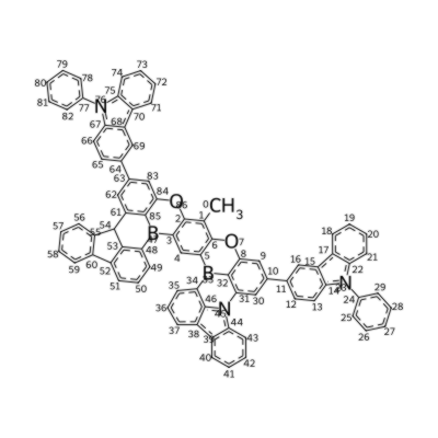 Cc1c2c(cc3c1Oc1cc(-c4ccc5c(c4)c4ccccc4n5-c4ccccc4)cc4c1B3c1cccc3c5ccccc5n-4c13)B1c3cccc4c3C(c3ccccc3-4)c3cc(-c4ccc5c(c4)c4ccccc4n5-c4ccccc4)cc(c31)O2